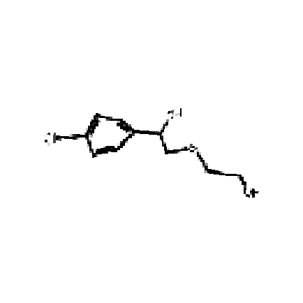 OCCSCC(O)c1ccc(Cl)cc1